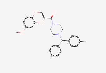 COc1ccc2c(c1)OC(C(=O)N1CCN(C(c3ccc(F)cc3)c3ccc(F)cc3)CC1)=CO2